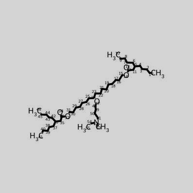 CCCCCC(CCCCC)CC(=O)OCCCCCCCCCC(CCCCCCCOC(=O)CC(CCCCC)CCCCC)OCCCCN(C)CC